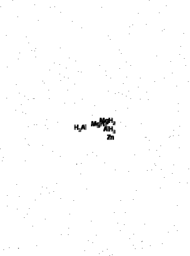 [AlH3].[AlH3].[MgH2].[MgH2].[Zn]